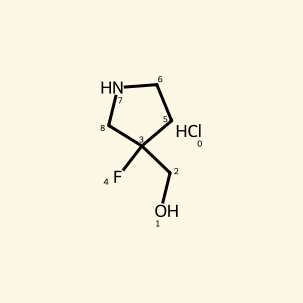 Cl.OCC1(F)CCNC1